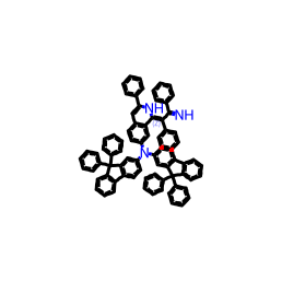 N=C(/C(=C1\NC(c2ccccc2)=Cc2ccc(N(c3ccc4c(c3)C(c3ccccc3)(c3ccccc3)c3ccccc3-4)c3ccc4c(c3)C(c3ccccc3)(c3ccccc3)c3ccccc3-4)cc21)c1ccccc1)c1ccccc1